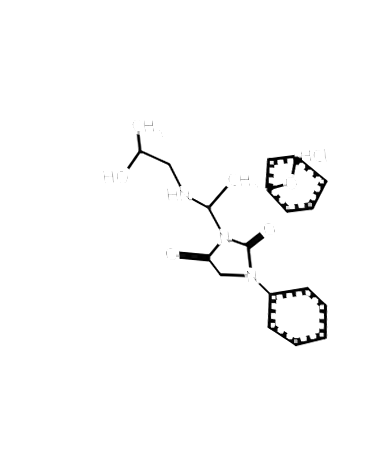 CC(O)CNC(C)N1C(=O)CN(c2ccccc2)C1=O.Cl.c1cc2cc(c1)O2